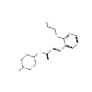 CC(C)CCSc1ccccc1/C=C/C(=O)NC1CCC(O)CC1